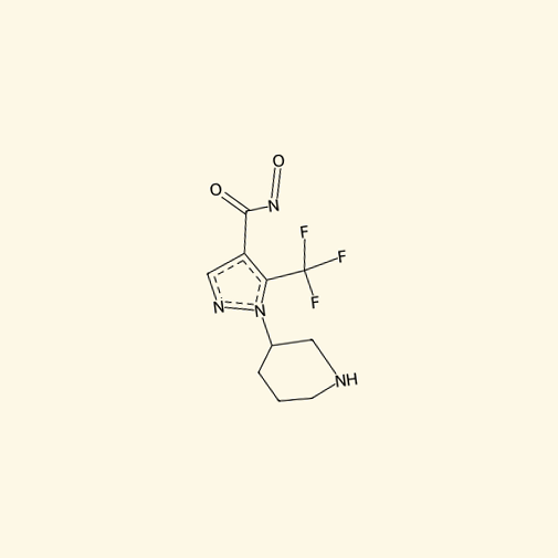 O=NC(=O)c1cnn(C2CCCNC2)c1C(F)(F)F